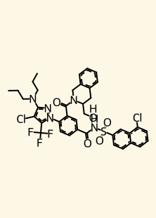 CCCN(CCC)c1nn(-c2ccc(C(=O)NS(=O)(=O)c3ccc4cccc(Cl)c4c3)cc2C(=O)N2Cc3ccccc3CC2CO)c(C(F)(F)F)c1Cl